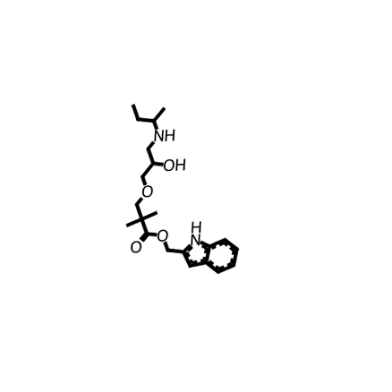 CCC(C)NCC(O)COCC(C)(C)C(=O)OCc1cc2ccccc2[nH]1